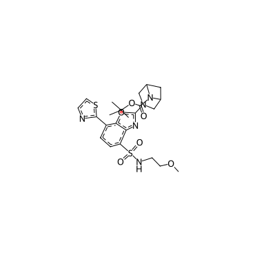 COCCNS(=O)(=O)c1ccc(-c2nccs2)c2oc(N3CC4CC(C3)N4C(=O)OC(C)(C)C)nc12